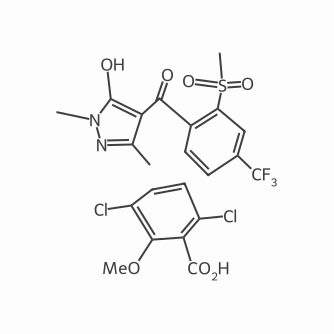 COc1c(Cl)ccc(Cl)c1C(=O)O.Cc1nn(C)c(O)c1C(=O)c1ccc(C(F)(F)F)cc1S(C)(=O)=O